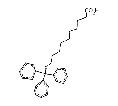 O=C(O)CCCCCCCCCSC(c1ccccc1)(c1ccccc1)c1ccccc1